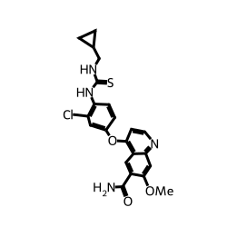 COc1cc2nccc(Oc3ccc(NC(=S)NCC4CC4)c(Cl)c3)c2cc1C(N)=O